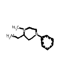 CN1CCN(c2ccccc2)CC1CN